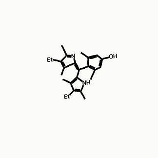 CCC1=C(C)C(=C(c2[nH]c(C)c(CC)c2C)c2c(C)cc(O)cc2C)N=C1C